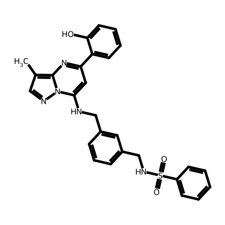 Cc1cnn2c(NCc3cccc(CNS(=O)(=O)c4ccccc4)c3)cc(-c3ccccc3O)nc12